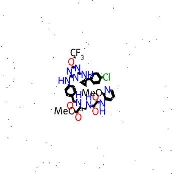 COC(=O)[C@H](CNC(=O)C(=O)Nc1cccnc1OC)NC(=O)c1ccc(Nc2nc(NC3(c4ccc(Cl)cc4)CC3)nc(OCC(F)(F)F)n2)cc1